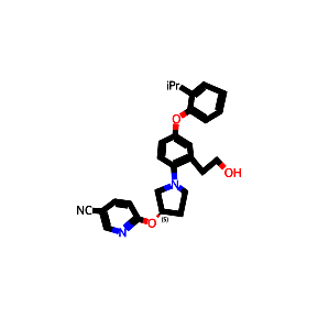 CC(C)c1ccccc1Oc1ccc(N2CC[C@H](Oc3ccc(C#N)cn3)C2)c(CCO)c1